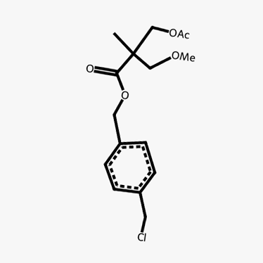 COCC(C)(COC(C)=O)C(=O)OCc1ccc(CCl)cc1